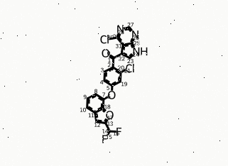 O=C(c1ccc(Oc2cccc3cc(C(F)F)oc23)cc1Cl)c1c[nH]c2ncnc(Cl)c12